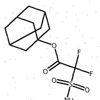 NS(=O)(=O)C(F)(F)C(=O)OC12CC3CC(CC(C3)C1)C2